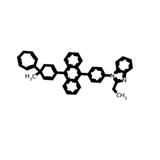 CCc1nc2ccccc2n1-c1ccc(-c2c3ccccc3c(C3=CCC(C)(C4=CC=CCC=C4)C=C3)c3ccccc23)cc1